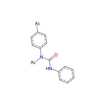 CC(=O)c1ccc(N(C(C)=O)C(=O)Nc2ccccc2)cc1